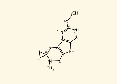 COc1ncc2[nH]c3c(c2n1)CC1(CC1)N(C)C3